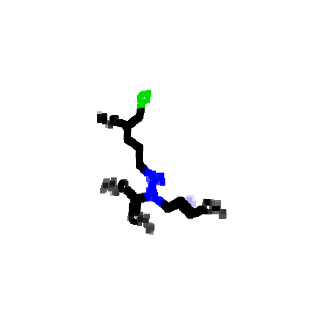 C=C(C)N(C/C=C/C)NCCCC(C)CCl